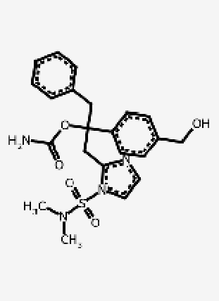 CN(C)S(=O)(=O)n1ccnc1CC(Cc1ccccc1)(OC(N)=O)c1ccc(CO)cc1